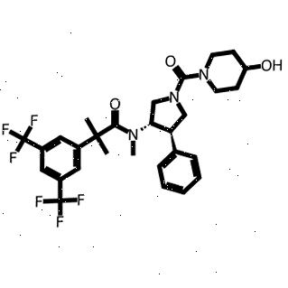 CN(C(=O)C(C)(C)c1cc(C(F)(F)F)cc(C(F)(F)F)c1)[C@@H]1CN(C(=O)N2CCC(O)CC2)C[C@H]1c1ccccc1